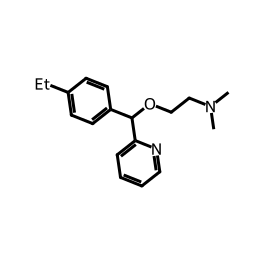 CCc1ccc(C(OCCN(C)C)c2ccccn2)cc1